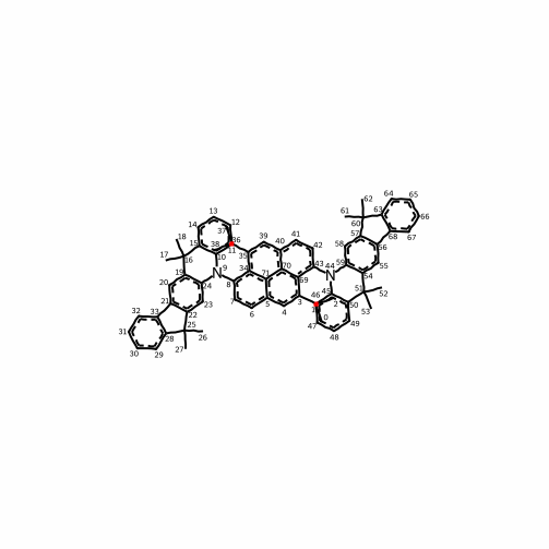 CC(C)c1cc2ccc(N3c4ccccc4C(C)(C)c4cc5c(cc43)C(C)(C)c3ccccc3-5)c3c(C(C)C)cc4ccc(N5c6ccccc6C(C)(C)c6cc7c(cc65)C(C)(C)c5ccccc5-7)c1c4c23